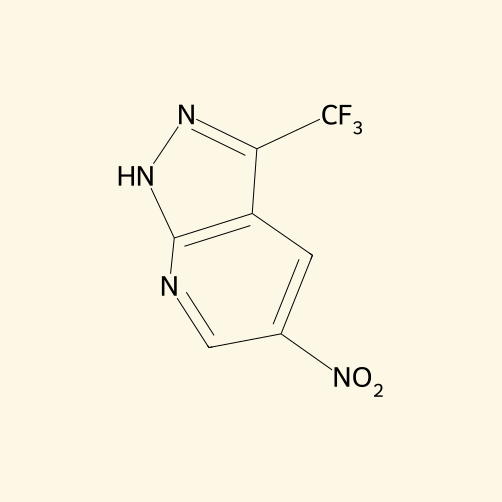 O=[N+]([O-])c1cnc2[nH]nc(C(F)(F)F)c2c1